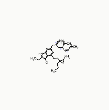 C=C\C=N/C(=C/C(=C\N)Cc1nc(CCC2(CCC)CC2N)c2c(Cl)c(CC)[nH]c2n1)C(=C)N